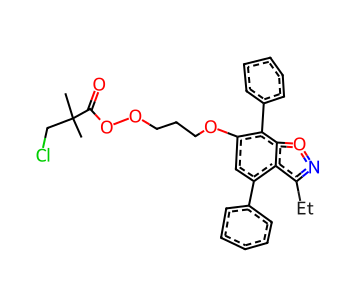 CCc1noc2c(-c3ccccc3)c(OCCCOOC(=O)C(C)(C)CCl)cc(-c3ccccc3)c12